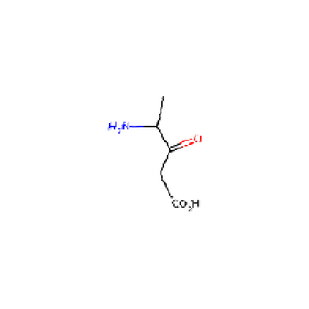 CC(N)C(=O)CC(=O)O